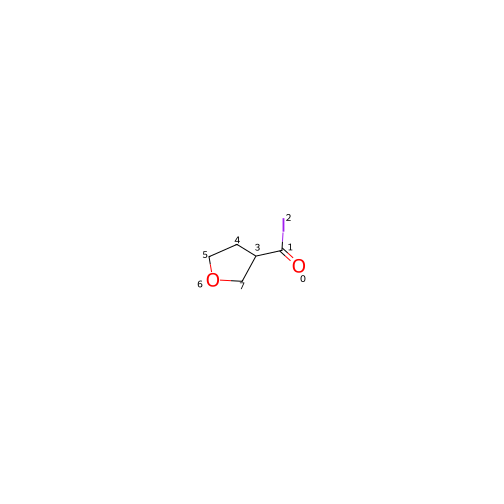 O=C(I)C1CCOC1